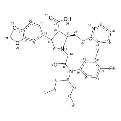 CCCC(CCC)N(C(=O)CN1CC(c2ccc3c(c2)OCO3)[C@H](C(=O)O)[C@H]1CCc1ccccn1)c1ccc(F)c(C)c1